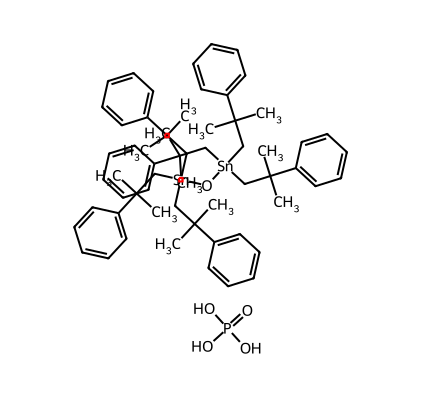 CC(C)([CH2][Sn]([CH2]C(C)(C)c1ccccc1)([CH2]C(C)(C)c1ccccc1)[O][Sn]([CH2]C(C)(C)c1ccccc1)([CH2]C(C)(C)c1ccccc1)[CH2]C(C)(C)c1ccccc1)c1ccccc1.O=P(O)(O)O